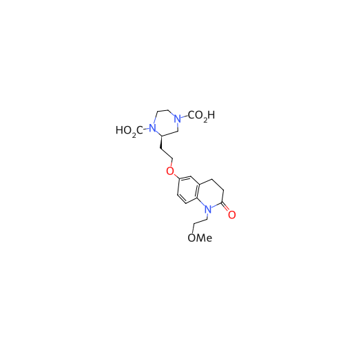 COCCN1C(=O)CCc2cc(OCC[C@@H]3CN(C(=O)O)CCN3C(=O)O)ccc21